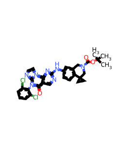 CC(C)(C)OC(=O)N1Cc2cc(Nc3ncc4c(=O)n(-c5c(Cl)cccc5Cl)c5nccn5c4n3)ccc2C2(CC2)C1